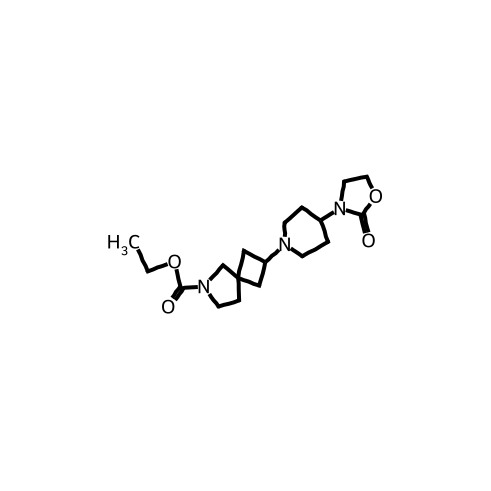 CCOC(=O)N1CCC2(CC(N3CCC(N4CCOC4=O)CC3)C2)C1